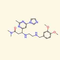 COc1ccc(CNCCNC(CC(=O)N(C)C)c2cc(-n3ccnc3)nc(C)n2)cc1OC